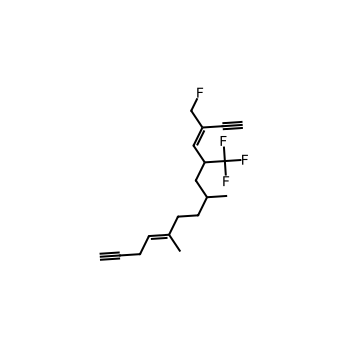 C#CC/C=C(\C)CCC(C)CC(/C=C(\C#C)CF)C(F)(F)F